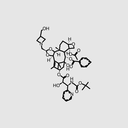 CC(=O)O[C@@]12CO[C@@H]1CC[C@@]1(C)[C@@H]3O[C@H](CN4CC(CO)C4)O[C@@H]3C3=C(C)[C@@H](OC(=O)[C@H](O)[C@@H](NC(=O)OC(C)(C)C)c4ccccn4)C[C@@](O)([C@@H](OC(=O)c4ccccc4)[C@@H]12)C3(C)C